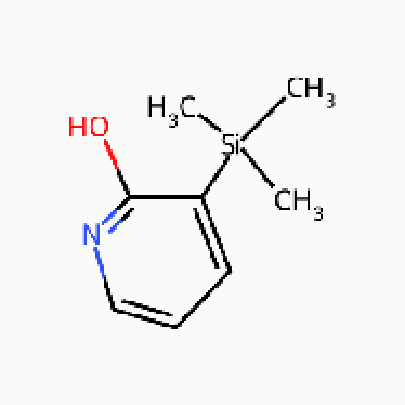 C[Si](C)(C)c1cccnc1O